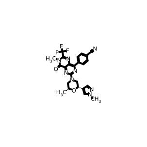 C[C@@H]1CN(c2nc(-c3ccc(C#N)cc3)c3nc(C(F)(F)F)n(C)c(=O)c3n2)C[C@H](c2cnn(C)c2)O1